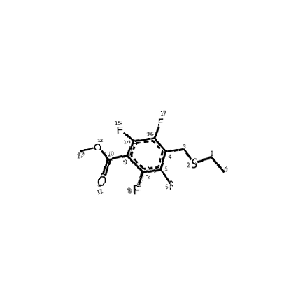 CCSCc1c(F)c(F)c(C(=O)OC)c(F)c1F